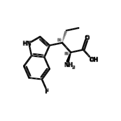 CC[C@@H](c1c[nH]c2ccc(F)cc12)[C@H](N)C(=O)O